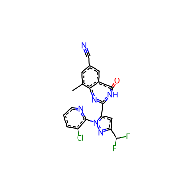 Cc1cc(C#N)cc2c(=O)[nH]c(-c3cc(C(F)F)nn3-c3ncccc3Cl)nc12